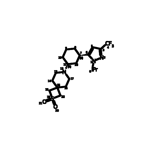 CC(C)n1nc(C(F)(F)F)cc1[C@H]1CCC[C@@H](N2CCC3(CC2)CS(=O)(=O)C3)C1